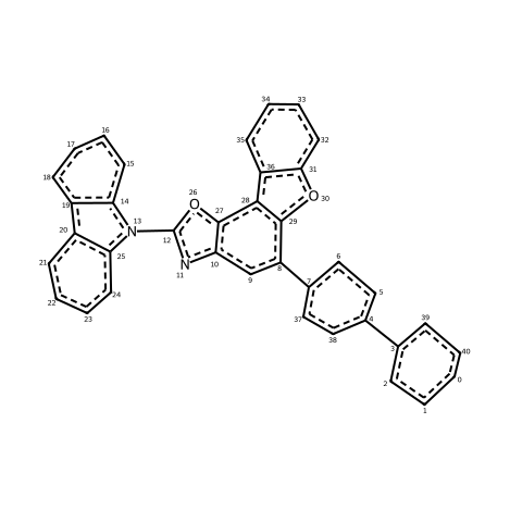 c1ccc(-c2ccc(-c3cc4nc(-n5c6ccccc6c6ccccc65)oc4c4c3oc3ccccc34)cc2)cc1